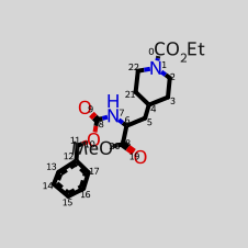 CCOC(=O)N1CCC(CC(NC(=O)OCc2ccccc2)C(=O)OC)CC1